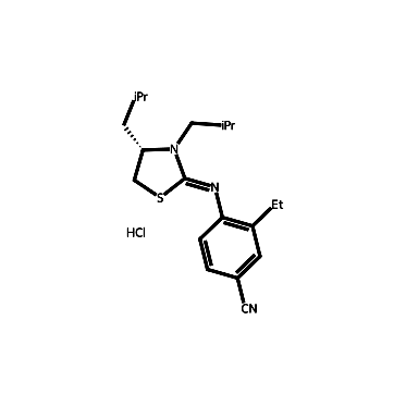 CCc1cc(C#N)ccc1N=C1SC[C@H](CC(C)C)N1CC(C)C.Cl